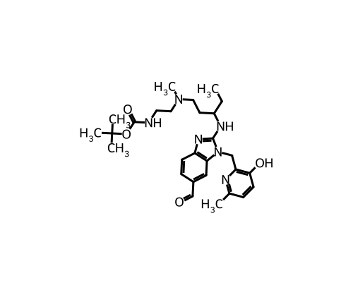 CCC(CCN(C)CCNC(=O)OC(C)(C)C)Nc1nc2ccc(C=O)cc2n1Cc1nc(C)ccc1O